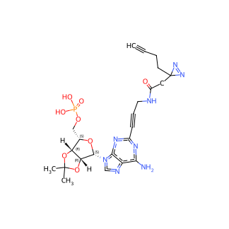 C#CCCC1(CC(=O)NCC#Cc2nc(N)c3ncn([C@H]4O[C@@H](COP(=O)(O)O)[C@H]5OC(C)(C)O[C@H]54)c3n2)N=N1